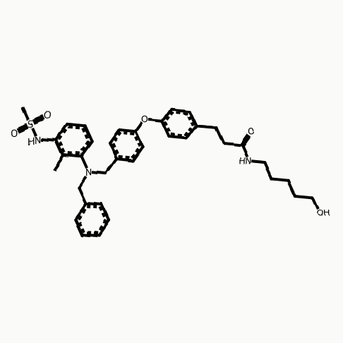 Cc1c(NS(C)(=O)=O)cccc1N(Cc1ccccc1)Cc1ccc(Oc2ccc(CCC(=O)NCCCCCO)cc2)cc1